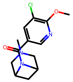 COc1ncc(C(=O)N2C3CC2CN(C)C3)cc1Cl